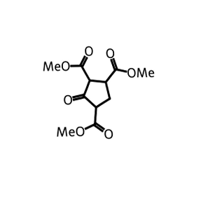 COC(=O)C1CC(C(=O)OC)C(C(=O)OC)C1=O